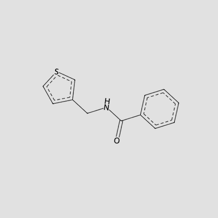 O=C(NCc1ccsc1)c1ccccc1